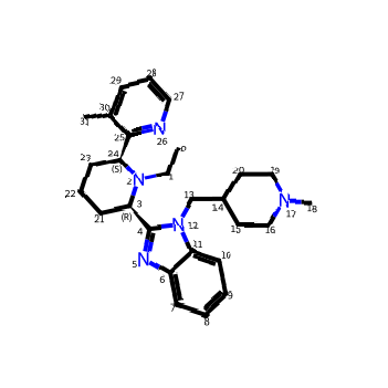 CCN1[C@@H](c2nc3ccccc3n2CC2CCN(C)CC2)CCC[C@H]1c1ncccc1C